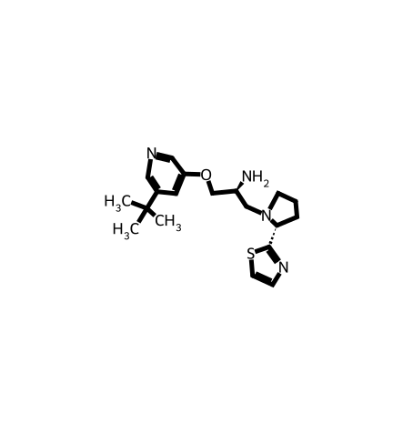 CC(C)(C)c1cncc(OC[C@@H](N)CN2CCC[C@@H]2c2nccs2)c1